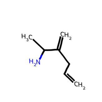 C=CCC(=C)[C](C)N